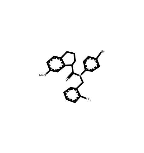 COc1ccc2c(c1)C(C(=O)N(Cc1ccccc1C(F)(F)F)c1ccc(C(C)C)cc1)CCC2